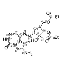 CCC(=O)OCC1OC(n2cc3c(N)cc4c(=O)[nH]ncc(n2)c34)C(C)(O)C1OC(=O)CC